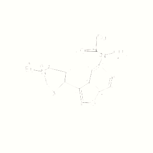 CCC(C)C(=O)N(C)c1ccc2occ(C3CCN(CC)CC3)c2c1